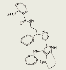 O=C(NCCC(c1ccccc1)c1cc(-c2[nH]c3c(c2Nc2ccccc2)C(=O)CCC3)ccn1)c1ccccc1O